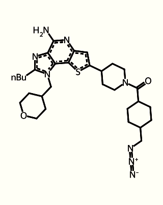 CCCCc1nc2c(N)nc3cc(C4CCN(C(=O)C5CCC(CN=[N+]=[N-])CC5)CC4)sc3c2n1CC1CCOCC1